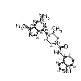 C[C@H]1CN(C(=O)Nc2cccc3[nH]ccc23)CCN1c1nc(N)nc2c1cnn2C